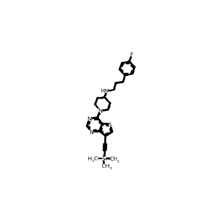 C[Si](C)(C)C#Cc1csc2c(N3CCC(NCCCc4ccc(F)cc4)CC3)ncnc12